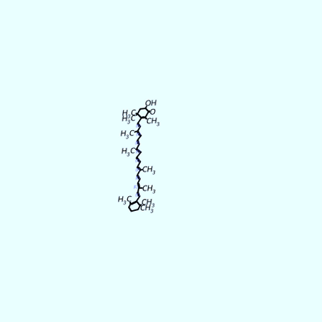 CC1=C(/C=C/C(C)=C/C=C/C(C)=C/C=C/C=C(C)/C=C/C=C(C)/C=C/C2=C(C)C(=O)C(O)CC2(C)C)C(C)(C)CCC1